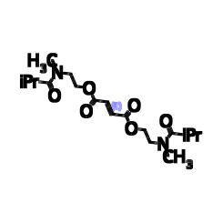 CC(C)C(=O)N(C)CCOC(=O)/C=C/C(=O)OCCN(C)C(=O)C(C)C